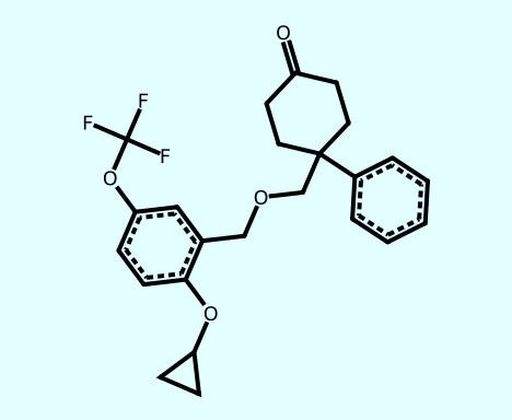 O=C1CCC(COCc2cc(OC(F)(F)F)ccc2OC2CC2)(c2ccccc2)CC1